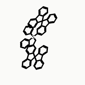 c1ccc(S(Cc2ccc3c(c2)C2(c4ccccc4-c4ccccc42)c2ccccc2-3)(c2ccccc2)c2ccc3c(c2)C2(c4ccccc4-c4ccccc42)c2ccccc2-3)cc1